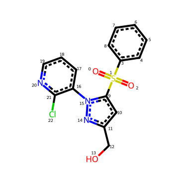 O=S(=O)(c1ccccc1)c1cc(CO)nn1-c1cccnc1Cl